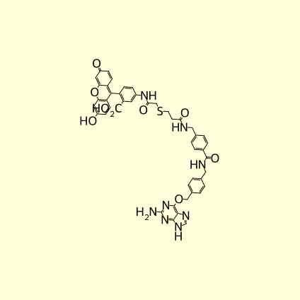 Nc1nc(OCc2ccc(CNC(=O)c3ccc(CNC(=O)CCSCC(=O)Nc4ccc(-c5c6ccc(=O)cc-6oc6cc(O)ccc56)c(C(=O)O)c4)cc3)cc2)c2nc[nH]c2n1